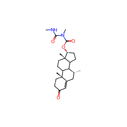 CNC(=O)N(C)C(=O)O[C@H]1CCC2C3C(CC[C@@]21C)[C@@]1(C)CCC(=O)C=C1C[C@H]3C